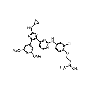 COc1cc(OC)cc(-c2nc(NC3CC3)sc2-c2ccnc(Nc3ccc(OCCN(C)C)c(Cl)c3)n2)c1